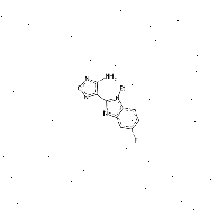 CCn1c(-c2nonc2N)nc2cc(F)ccc21